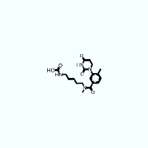 Cc1ccc(C(=O)N(C)CCCCCNC(=O)O)cc1N1CCC(=O)NC1=O